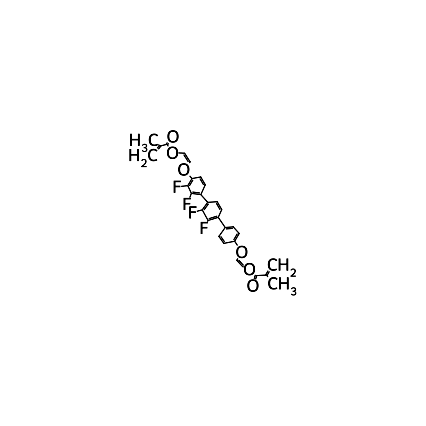 C=C(C)C(=O)O/C=C\Oc1ccc(-c2ccc(-c3ccc(O/C=C\OC(=O)C(=C)C)c(F)c3F)c(F)c2F)cc1